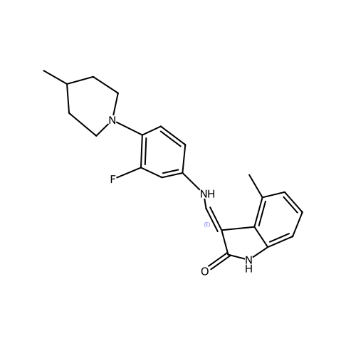 Cc1cccc2c1/C(=C\Nc1ccc(N3CCC(C)CC3)c(F)c1)C(=O)N2